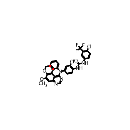 COc1cc2ncnc(N(c3ccccc3)c3ccc(NC(=O)Nc4ccc(Cl)c(C(F)(F)F)c4)c(Cl)c3)c2c2c1OCCO2